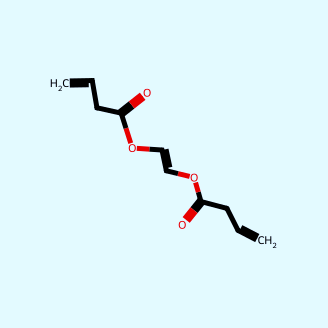 C=CCC(=O)OC=COC(=O)CC=C